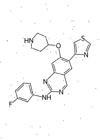 Fc1cccc(Nc2ncc3cc(-c4cscn4)c(OC4CCNCC4)cc3n2)c1